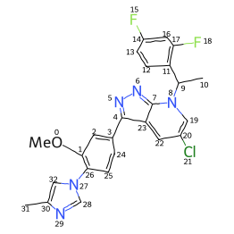 COc1cc(-c2nnc3n(C(C)c4ccc(F)cc4F)cc(Cl)cc2-3)ccc1-n1cnc(C)c1